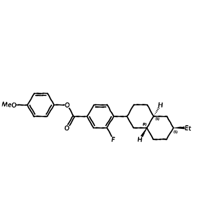 CC[C@H]1CC[C@@H]2CC(c3ccc(C(=O)Oc4ccc(OC)cc4)cc3F)CC[C@H]2C1